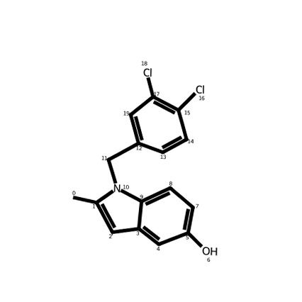 Cc1[c]c2cc(O)ccc2n1Cc1ccc(Cl)c(Cl)c1